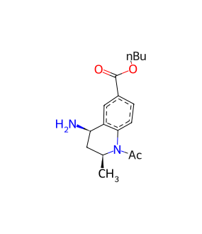 CCCCOC(=O)c1ccc2c(c1)[C@H](N)C[C@H](C)N2C(C)=O